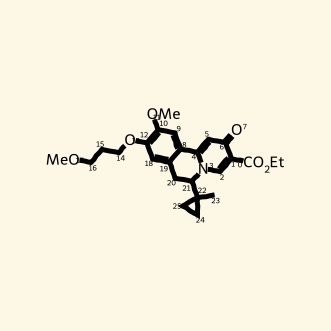 CCOC(=O)c1cn2c(cc1=O)-c1cc(OC)c(OCCCOC)cc1CC2C1(C)CC1